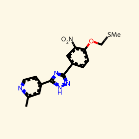 CSCOc1ccc(-c2n[nH]c(-c3ccnc(C)c3)n2)cc1[N+](=O)[O-]